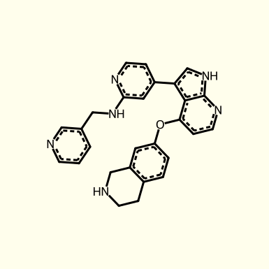 c1cncc(CNc2cc(-c3c[nH]c4nccc(Oc5ccc6c(c5)CNCC6)c34)ccn2)c1